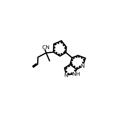 C=CCC(C)(C#N)c1cccc(-c2ccnc3[nH]ncc23)c1